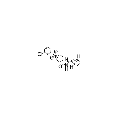 O=C1NC([C@@H]2C[C@H]3CC[C@@H]2C3)=NC12CCN(S(=O)(=O)c1cccc(Cl)c1)CC2